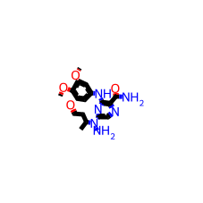 COc1ccc(Nc2nc(N(N)C(C)CC=O)cnc2C(N)=O)cc1OC